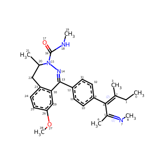 CC/C(C)=C(\C(C)=N/C)c1ccc(C2=NN(C(=O)NC)C(C)Cc3ccc(OC)cc32)cc1